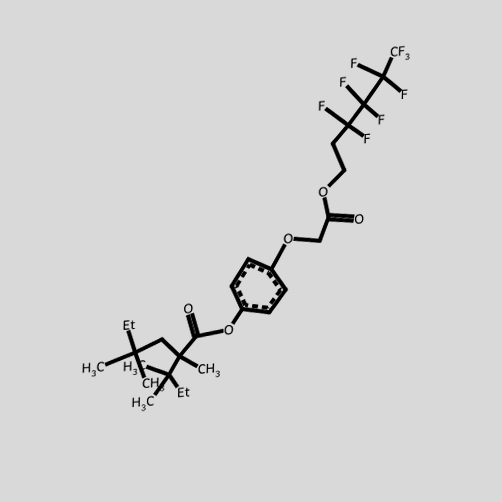 CCC(C)(C)CC(C)(C(=O)Oc1ccc(OCC(=O)OCCC(F)(F)C(F)(F)C(F)(F)C(F)(F)F)cc1)C(C)(C)CC